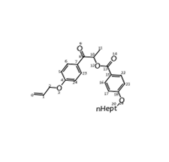 C=CCOc1ccc(C(=O)C(C)OC(=O)c2ccc(OCCCCCCC)cc2)cc1